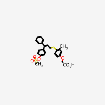 Cc1cc(OCC(=O)O)ccc1SCC=C(c1ccccc1)c1ccc(OS(C)(=O)=O)cc1